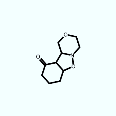 O=C1CCCC2ON3CCOCC3C12